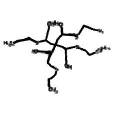 CCSC(O)C(C(O)SCC)(C(O)SCC)C(O)SCC